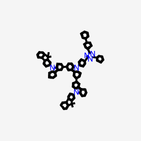 CC1(C)c2ccccc2-c2ccc(-n3c4ccccc4c4cc(-c5ccc6c(c5)c5cc(-c7ccc8c(c7)c7ccccc7n8-c7ccc8c(c7)C(C)(C)c7ccccc7-8)ccc5n6-c5ccc(-c6nc(-c7ccccc7)nc(-c7ccc(-c8ccccc8)cc7)n6)cc5)ccc43)cc21